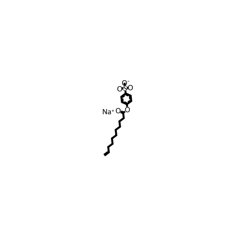 C=CCCCCCCCCC(=O)Oc1ccc(S(=O)(=O)[O-])cc1.[Na+]